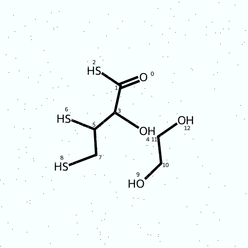 O=C(S)C(O)C(S)CS.OCCO